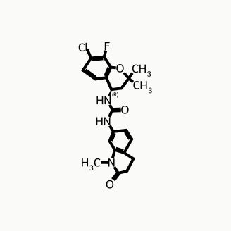 CN1C(=O)CCc2ccc(NC(=O)N[C@@H]3CC(C)(C)Oc4c3ccc(Cl)c4F)cc21